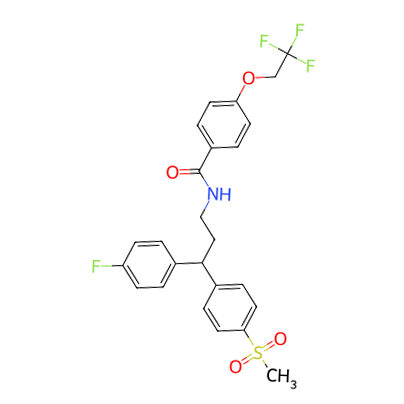 CS(=O)(=O)c1ccc(C(CCNC(=O)c2ccc(OCC(F)(F)F)cc2)c2ccc(F)cc2)cc1